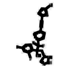 OC(CN1C=NNN1)(c1ccc(F)cc1F)C(F)(F)c1ccc(C#Cc2ccc(Cl)s2)cn1